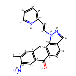 Cc1cc(C)c(C(=O)c2ccc3cnn(C=Cc4ccccn4)c3c2)cc1N